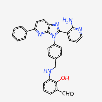 Nc1ncccc1-c1nc2ccc(-c3ccccc3)nc2n1-c1ccc(CNc2cccc(C=O)c2O)cc1